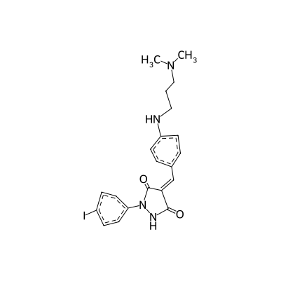 CN(C)CCCNc1ccc(C=C2C(=O)NN(c3ccc(I)cc3)C2=O)cc1